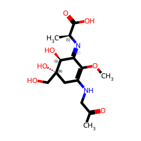 COC1=C(NCC(C)=O)C[C@@](O)(CO)[C@@H](O)/C1=N\[C@@H](C)C(=O)O